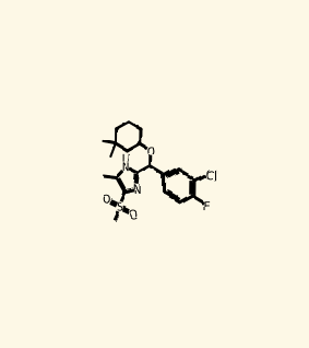 Cc1[nH]c(C(OC2CCCC(C)(C)C2)c2ccc(F)c(Cl)c2)nc1S(C)(=O)=O